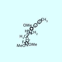 C=N/C(=N\C=C(/C)OCc1c(F)c(OC)nc(OC)c1F)Nc1ccc(N2CCC(N3CCN(C)CC3)CC2)c(OC)c1